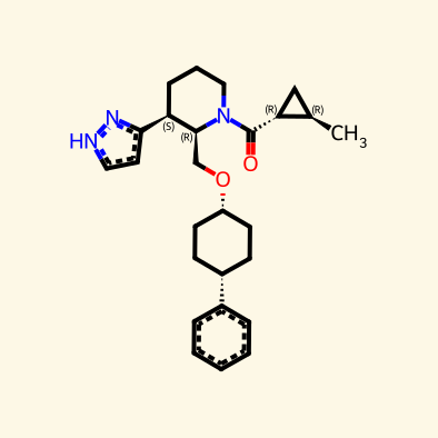 C[C@@H]1C[C@H]1C(=O)N1CCC[C@H](c2cc[nH]n2)[C@@H]1CO[C@H]1CC[C@@H](c2ccccc2)CC1